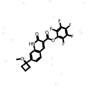 COC1(c2ccc3cc(C(=O)Oc4c(F)c(F)c(F)c(F)c4F)c(=O)[nH]c3c2)CCC1